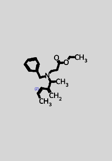 C=C(/C=C\C)C(C)N(CCC(=O)OCC)Cc1ccccc1